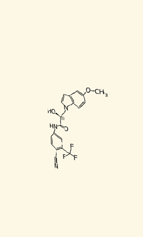 COc1ccc2c(ccn2C[C@H](O)C(=O)Nc2ccc(C#N)c(C(F)(F)F)c2)c1